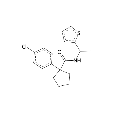 CC(NC(=O)C1(c2ccc(Cl)cc2)CCCC1)c1cccs1